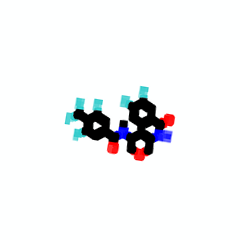 CN(C(=O)c1cc(F)c(C(F)F)c(F)c1)C1COCc2[nH]c(=O)c3cc(F)c(F)cc3c21